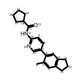 Cc1cc2c(cc1-c1ccc(NC(=O)C3CCCC3)nc1)CCC2